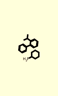 CC(C)c1ccccc1-c1ccccc1.PC1CCCCC1